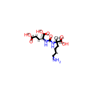 CC(CCCCN)(NC(=O)N[C@@H](CCC(=O)O)C(=O)O)C(=O)O